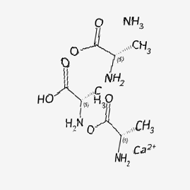 C[C@H](N)C(=O)O.C[C@H](N)C(=O)[O-].C[C@H](N)C(=O)[O-].N.[Ca+2]